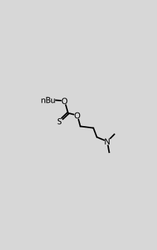 CCCCOC(=S)OCCCN(C)C